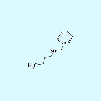 CCC[CH2][Sn][CH2]c1ccccc1